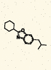 CC(C)Cc1ccc2nc(C3CCCCC3)oc2c1